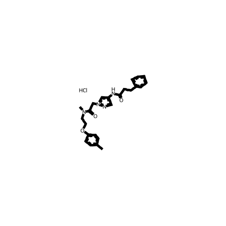 Cc1ccc(OCCN(C)C(=O)Cn2cc(NC(=O)CCc3ccccc3)cn2)cc1.Cl